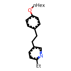 CCCCCCOc1ccc(CCc2ccc(CC)nc2)cc1